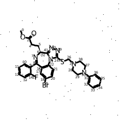 COC(=O)CC[C@@H]1N=C(c2ccccc2F)c2cc(Br)ccc2-n2c(SCN3CCN(c4ccccc4)CC3)nnc21